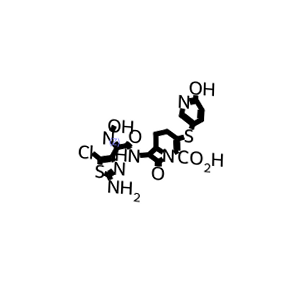 Nc1nc(/C(=N/O)C(=O)NC2C(=O)N3C(C(=O)O)=C(Sc4ccc(O)nc4)CCC23)c(Cl)s1